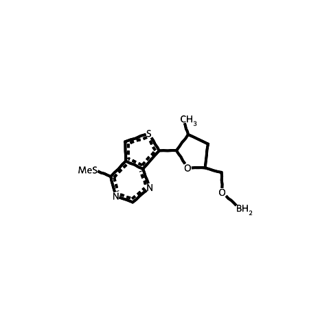 BOCC1CC(C)C(c2scc3c(SC)ncnc23)O1